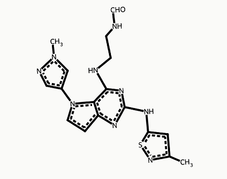 Cc1cc(Nc2nc(NCCNC=O)c3c(ccn3-c3cnn(C)c3)n2)sn1